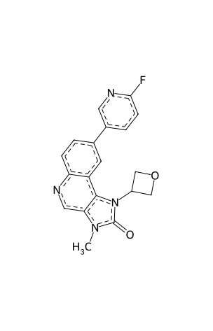 Cn1c(=O)n(C2COC2)c2c3cc(-c4ccc(F)nc4)ccc3ncc21